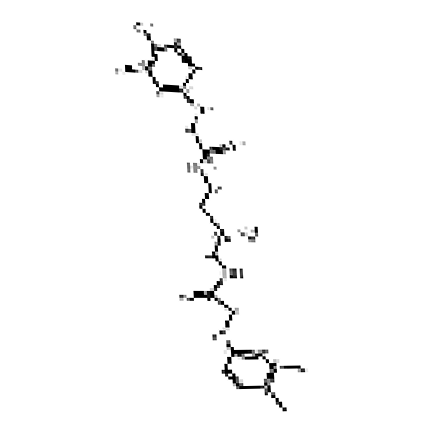 Cc1ccc(OCC(=O)NC[C@@H](O)CCNC(=O)COc2ccc(Cl)c(F)c2)cc1C